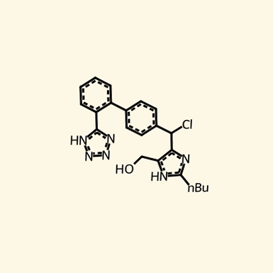 CCCCc1nc(C(Cl)c2ccc(-c3ccccc3-c3nnn[nH]3)cc2)c(CO)[nH]1